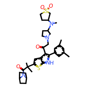 Cc1cc(C)cc(-c2[nH]c3sc(C(C)(C)C(=O)N4C5CCC4CC5)cc3c2C(=O)CN2CCC(N(C)C3CCS(=O)(=O)C3)C2)c1